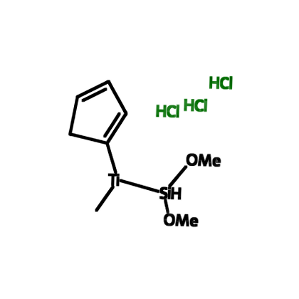 CO[SiH](OC)[Ti]([CH3])[C]1=CC=CC1.Cl.Cl.Cl